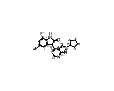 O=C1Nc2c(F)cc(F)cc2C1c1ncnc2nn(C3CCCC3)cc12